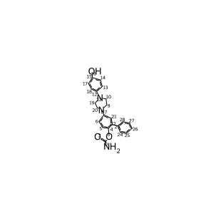 NC(=O)Oc1ccc(N2CCN(c3ccc(O)cc3)CC2)cc1-c1ccccc1